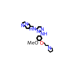 COc1ccc(Nc2nccc(NCc3ccc4nccn4c3)n2)cc1OCCCN1CCCC1